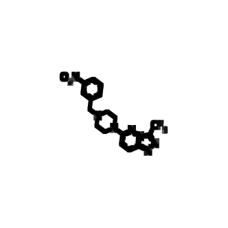 O=[N+]([O-])c1cccc(CN2CCN(c3ccc4nnc(C(F)(F)F)n4n3)CC2)c1